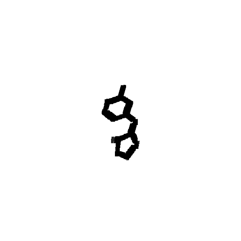 Cc1cc(N=c2ncs[nH]2)ccn1